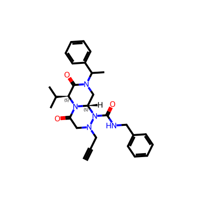 C#CCN1CC(=O)N2[C@@H](C(C)C)C(=O)N(C(C)c3ccccc3)C[C@@H]2N1C(=O)NCc1ccccc1